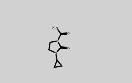 NC(=O)N1CCN(C2CC2)C1=O